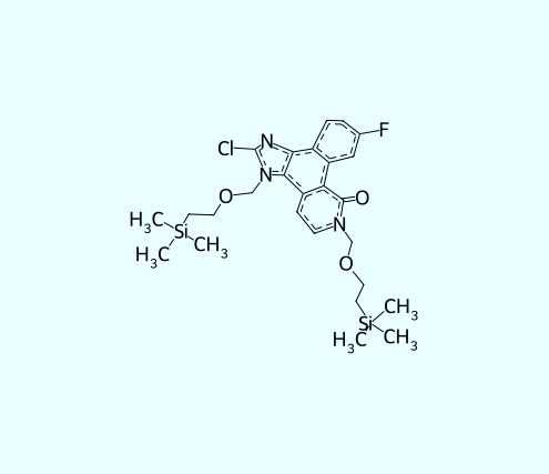 C[Si](C)(C)CCOCn1ccc2c(c1=O)c1cc(F)ccc1c1nc(Cl)n(COCC[Si](C)(C)C)c21